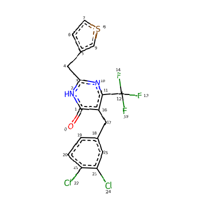 O=c1[nH]c(Cc2ccsc2)nc(C(F)(F)F)c1Cc1ccc(Cl)c(Cl)c1